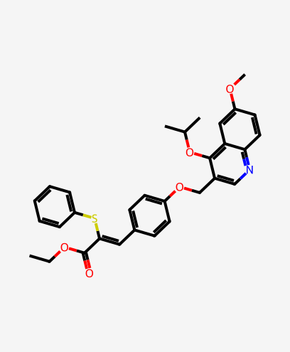 CCOC(=O)C(=Cc1ccc(OCc2cnc3ccc(OC)cc3c2OC(C)C)cc1)Sc1ccccc1